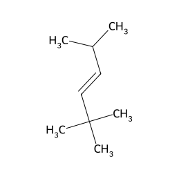 CC(C)C=CC(C)(C)C